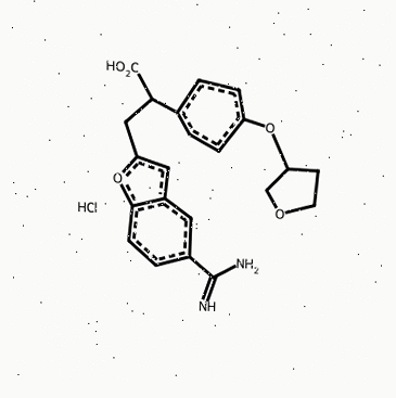 Cl.N=C(N)c1ccc2oc(CC(C(=O)O)c3ccc(OC4CCOC4)cc3)cc2c1